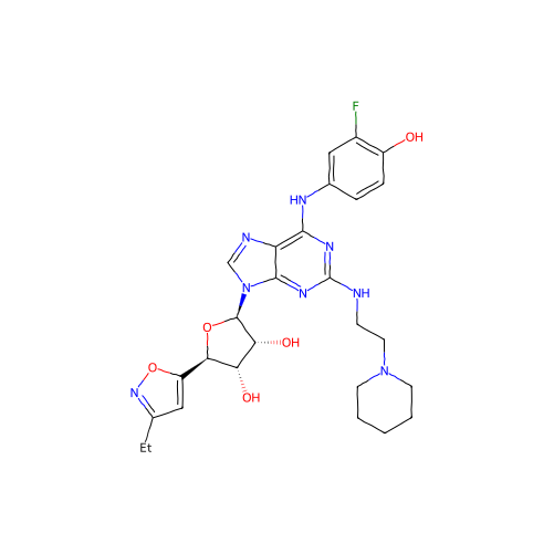 CCc1cc([C@H]2O[C@@H](n3cnc4c(Nc5ccc(O)c(F)c5)nc(NCCN5CCCCC5)nc43)[C@H](O)[C@@H]2O)on1